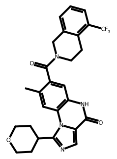 Cc1cc2c(cc1C(=O)N1CCc3c(cccc3C(F)(F)F)C1)[nH]c(=O)c1cnc(C3CCOCC3)n12